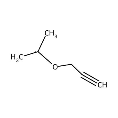 C#CCO[C](C)C